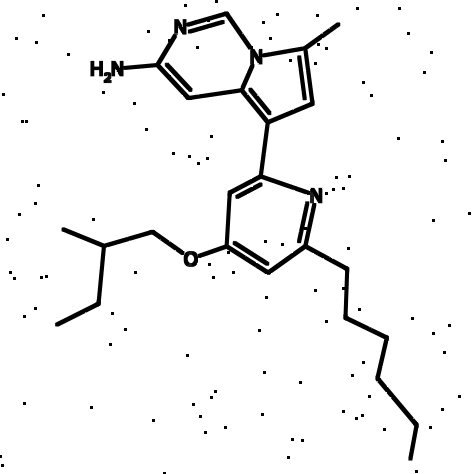 CCCCCCc1cc(OCC(C)CC)cc(-c2cc(C)n3cnc(N)cc23)n1